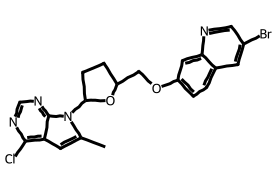 Cc1cc2c(Cl)ncnc2n1C1CCC(COc2ccc3cc(Br)cnc3c2)O1